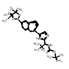 CC(C)(C)OC(=O)NC(c1ncc(-c2ccc3cc(B4OC(C)(C)C(C)(C)O4)ccc3c2)[nH]1)C(C)(C)C